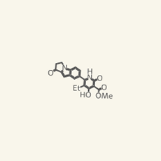 CCc1c(-c2ccc3c(c2)cc2n3CCC2=O)[nH]c(=O)c(C(=O)OC)c1O